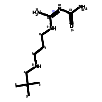 CC(C)(C)CNCCCN/C(N)=N\C(N)=O